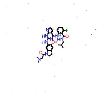 COc1cc2c(cc1Nc1nc(Nc3cccc(F)c3C(=O)NCC(C)C)c3ccnc-3[nH]1)N(C(=O)CN(C)C)CC2